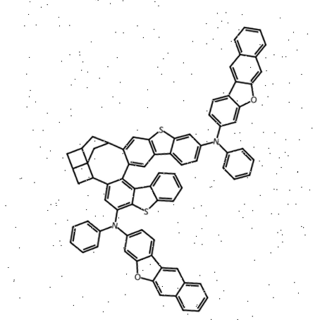 c1ccc(N(c2ccc3c(c2)oc2cc4ccccc4cc23)c2ccc3c(c2)sc2cc4c(cc23)-c2c(cc(N(c3ccccc3)c3ccc5c(c3)oc3cc6ccccc6cc35)c3sc5ccccc5c23)C2CC3CC5CC4CC532)cc1